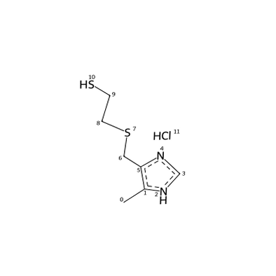 Cc1[nH]cnc1CSCCS.Cl